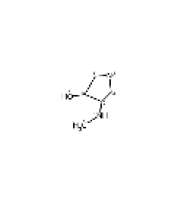 CNC1C[N]CC1O